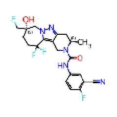 C[C@@H]1Cc2nn3c(c2CN1C(=O)Nc1ccc(F)c(C#N)c1)C(F)(F)CC[C@@](O)(CF)C3